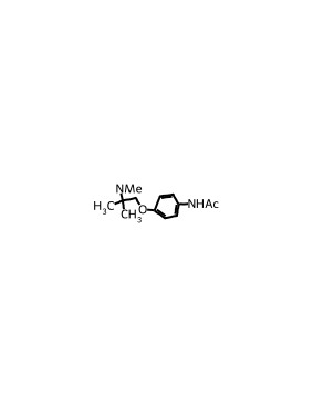 CNC(C)(C)COc1ccc(NC(C)=O)cc1